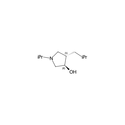 CC(C)C[C@H]1CN(C(C)C)C[C@@H]1O